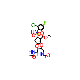 CCOC(=O)C1=CC2(CCC1S(=O)(=O)Nc1ccc(F)cc1Cl)OC(CNC(C)=O)C(CNC(C)=O)O2